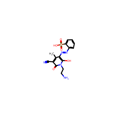 Cc1c(N=Nc2ccccc2S(=O)(=O)O)c(O)n(CCN)c(=O)c1C#N